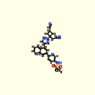 CS(=O)(=O)Nc1ccc(-c2cc(-c3cnn(C4(CC#N)CC(C#N)C4)n3)c3cccnc3c2)nc1